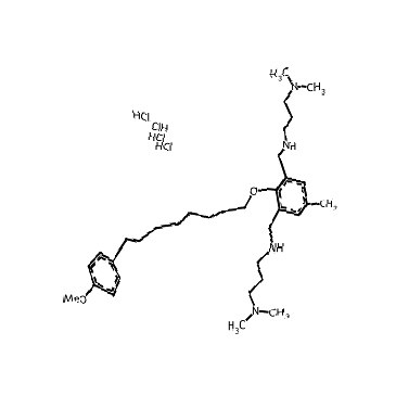 COc1ccc(CCCCCCCCOc2c(CNCCCN(C)C)cc(C)cc2CNCCCN(C)C)cc1.Cl.Cl.Cl.Cl